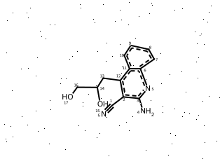 N#Cc1c(N)nc2ccccc2c1CC(O)CO